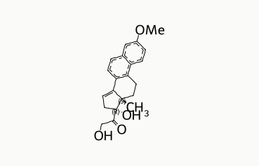 COc1ccc2c3c(ccc2c1)C1=CC[C@](O)(C(=O)CO)[C@@]1(C)CC3